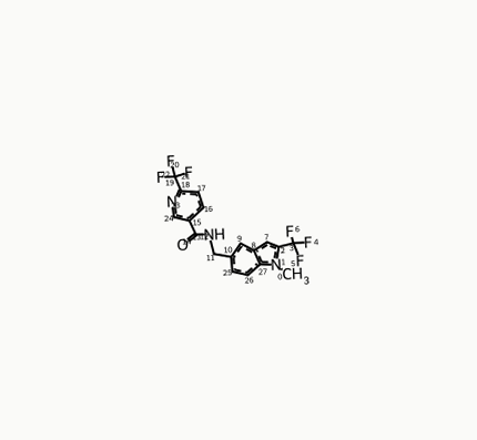 Cn1c(C(F)(F)F)cc2cc(CNC(=O)c3ccc(C(F)(F)F)nc3)ccc21